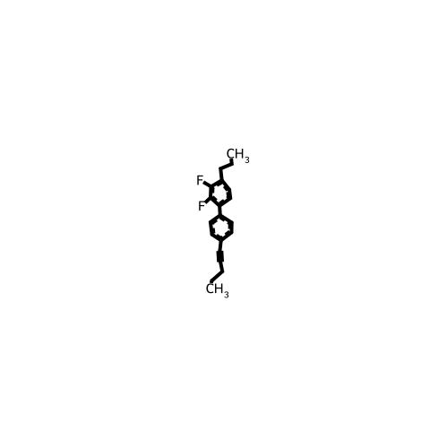 CCCC#Cc1ccc(-c2ccc(CCC)c(F)c2F)cc1